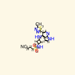 Cc1nnc(-c2cnc3[nH]ccc3c2NC2CC(NS(=O)(=O)CCCC#N)C2)s1